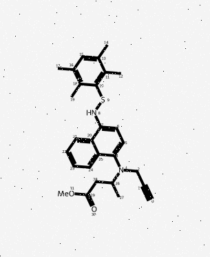 C#CCN(c1ccc(NSc2c(C)c(C)cc(C)c2C)c2ccccc12)C(C)CC(=O)OC